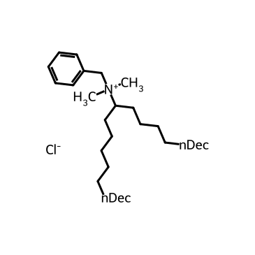 CCCCCCCCCCCCCCCC(CCCCCCCCCCCCCC)[N+](C)(C)Cc1ccccc1.[Cl-]